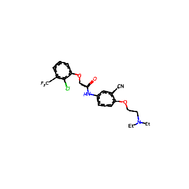 CCN(CC)CCOc1ccc(NC(=O)COc2cccc(C(F)(F)F)c2Cl)cc1C#N